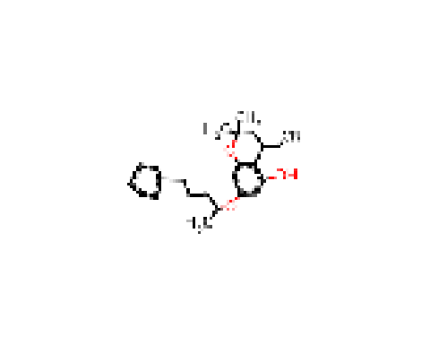 CC(CCCc1ccccc1)Oc1cc(O)c2c(c1)OC(C)(C)CC2CC#N